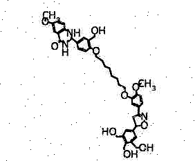 COc1ccc2c(c1)C(=O)NC(c1ccc(OCCCCCCCCOc3cc(C4=NOC(c5cc(CO)c(CO)c(CO)c5)C4)ccc3OC)c(CO)c1)N2